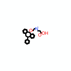 CN(CCOC1c2ccccc2CC(c2ccccc2)c2ccccc21)CCC(=O)O